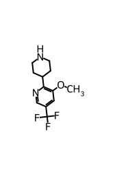 COc1cc(C(F)(F)F)cnc1C1CCNCC1